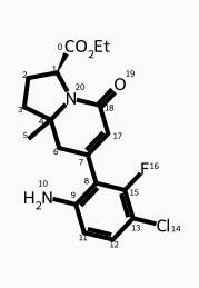 CCOC(=O)[C@@H]1CCC2(C)CC(c3c(N)ccc(Cl)c3F)=CC(=O)N12